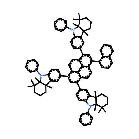 CC1(C)CCCC2(C)c3cc(-c4cc(-c5ccc6c(c5)C5(C)CCCC(C)(C)C5(C)N6c5ccccc5)c5ccc6c(-c7cccc8ccccc78)cc(-c7ccc8c(c7)C7(C)CCCC(C)(C)C7(C)N8c7ccccc7)c7ccc4c5c76)ccc3N(c3ccccc3)C12C